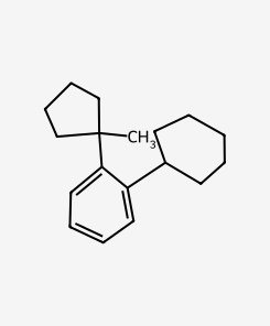 CC1(c2ccccc2C2CCCCC2)CCCC1